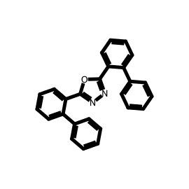 c1ccc(-c2ccccc2-c2nnc(-c3ccccc3-c3ccccc3)o2)cc1